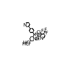 Cl.Cl.O=C(N[C@@H](c1ccc(-c2cccnc2)cc1)C1CCCCN1)c1nccc(C(F)(F)F)c1Cl